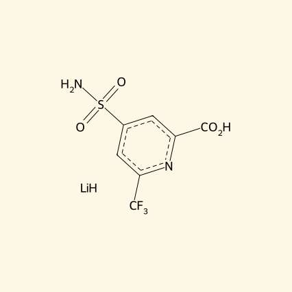 NS(=O)(=O)c1cc(C(=O)O)nc(C(F)(F)F)c1.[LiH]